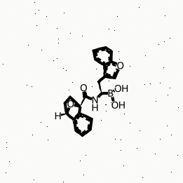 O=C(N[C@@H](Cc1coc2ccccc12)B(O)O)[C@]12CC[C@H](O1)c1ccccc12